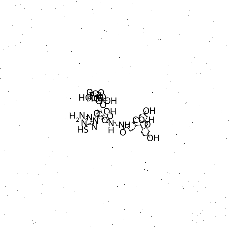 Nc1nc(S)c2ncn([C@@H]3O[C@H](COP(=O)(O)OP(=O)(O)OP(=O)(O)O)C(O)[C@@H]3OC(=O)NCCNC(=O)c3ccc(C4=C5C=CC(O)=CC5Oc5cc(O)ccc54)c(C(=O)O)c3)c2n1